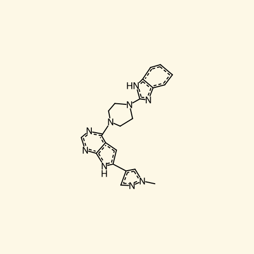 Cn1cc(-c2cc3c(N4CCN(c5nc6ccccc6[nH]5)CC4)ncnc3[nH]2)cn1